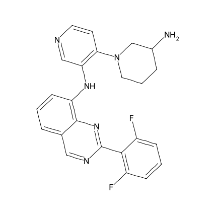 NC1CCCN(c2ccncc2Nc2cccc3cnc(-c4c(F)cccc4F)nc23)C1